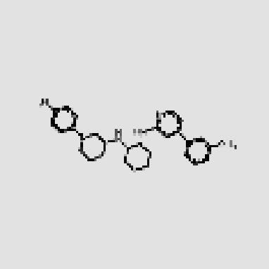 Nc1ccc(N2CCC[C@H](N[C@@H]3CCCC[C@H]3Nc3cc(-c4cccc(N)c4)ccn3)C2)cc1